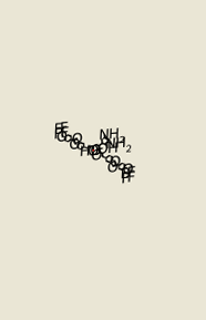 Nc1cc(N)cc(C(CC(=O)C=Cc2ccc(OC(=O)c3ccc(OC(F)(F)C(F)F)cc3)cc2)C(O)(O)C(=O)C=Cc2ccc(OC(=O)c3ccc(OC(F)(F)C(F)F)cc3)cc2)c1